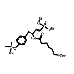 CCCCCCCCCCCCCCCC(=O)N[C@H](/C=C/P(=O)(OCC)OCC)Cc1ccc(O[Si](C)(C)C(C)(C)C)cc1